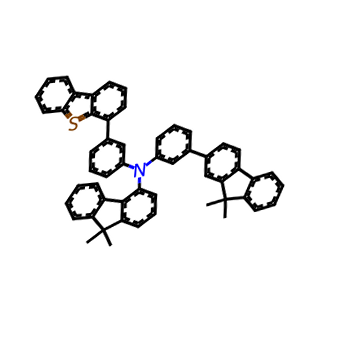 CC1(C)c2ccccc2-c2ccc(-c3cccc(N(c4cccc(-c5cccc6c5sc5ccccc56)c4)c4cccc5c4-c4ccccc4C5(C)C)c3)cc21